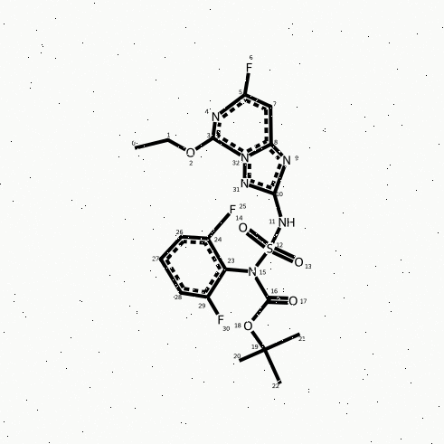 CCOc1nc(F)cc2nc(NS(=O)(=O)N(C(=O)OC(C)(C)C)c3c(F)cccc3F)nn12